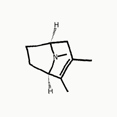 CC1=C(C)[C@H]2CC[C@@H](C1)N2C